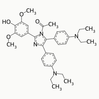 CCN(CC)c1ccc(-c2nc(-c3cc(OC)c(O)c(OC)c3)n(C(C)=O)c2-c2ccc(N(CC)CC)cc2)cc1